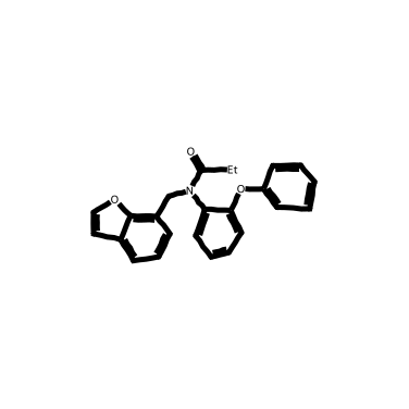 CCC(=O)N(Cc1cccc2ccoc12)c1ccccc1Oc1ccccc1